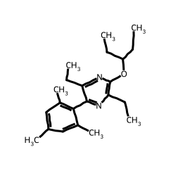 CCc1nc(-c2c(C)cc(C)cc2C)c(CC)nc1OC(CC)CC